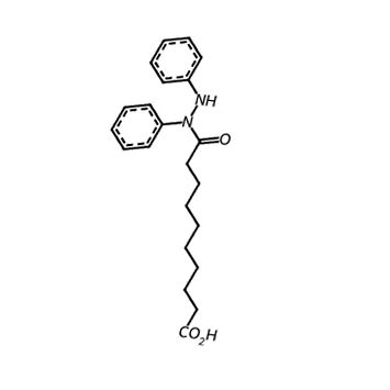 O=C(O)CCCCCCCCC(=O)N(Nc1ccccc1)c1ccccc1